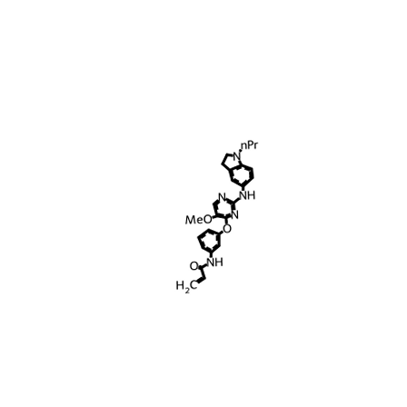 C=CC(=O)Nc1cccc(Oc2nc(Nc3ccc4c(c3)CCN4CCC)ncc2OC)c1